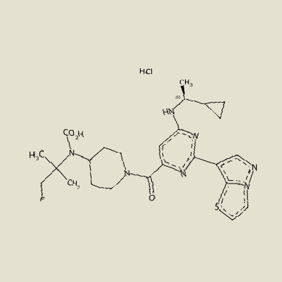 C[C@H](Nc1cc(C(=O)N2CCC(N(C(=O)O)C(C)(C)CF)CC2)nc(-c2cnn3ccsc23)n1)C1CC1.Cl